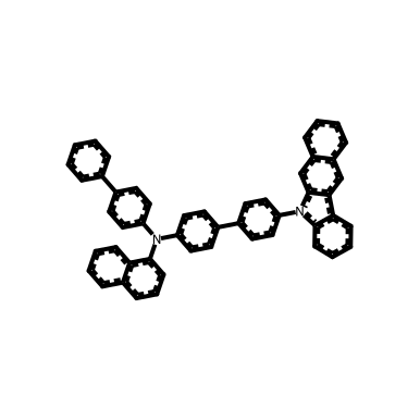 c1ccc(-c2ccc(N(c3ccc(-c4ccc(-n5c6ccccc6c6cc7ccccc7cc65)cc4)cc3)c3cccc4ccccc34)cc2)cc1